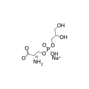 N[C@@H](COP(=O)(O)OCC(O)CO)C(=O)[O-].[Na+]